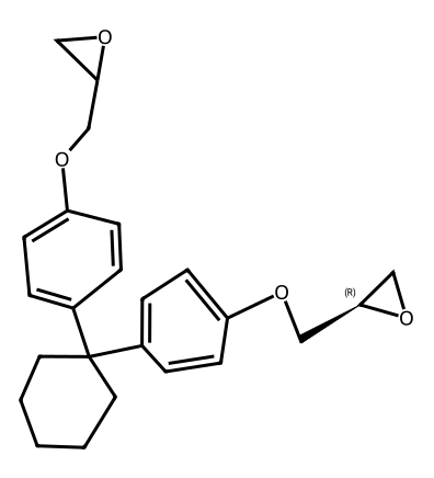 c1cc(C2(c3ccc(OC[C@H]4CO4)cc3)CCCCC2)ccc1OCC1CO1